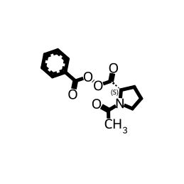 CC(=O)N1CCC[C@H]1C(=O)OOC(=O)c1ccccc1